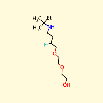 CCC(C)(C)NCCC(F)COCCOCCO